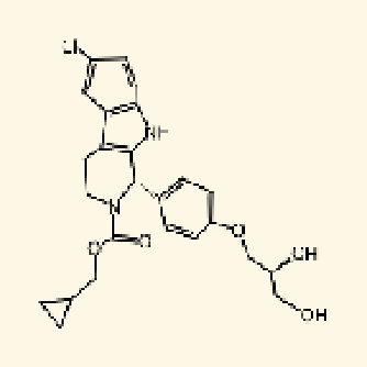 O=C(OCC1CC1)N1CCc2c([nH]c3ccc(Cl)cc23)[C@@H]1c1ccc(OC[C@@H](O)CO)cc1